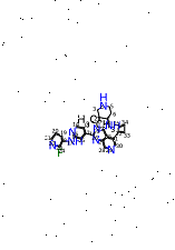 CC1(C)CNCCC1Nc1nc(-c2ccnc(Nc3cccnc3F)c2)nc2cncc(C3=CC=C3)c12